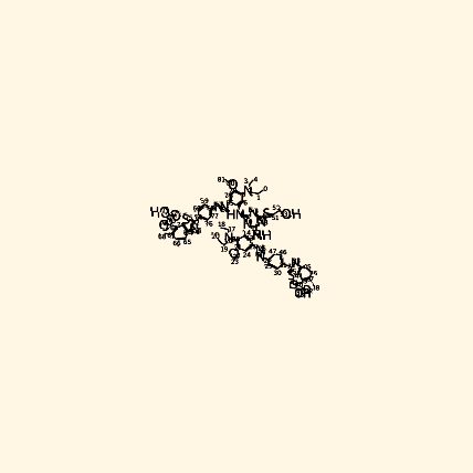 CCN(CC)c1cc(Nc2nc(Nc3cc(N(CC)CC)c(OC)cc3/N=N/c3ccc(-c4nc5ccc(C)c(S(=O)(=O)O)c5s4)cc3)nc(SCCO)n2)c(/N=N/c2ccc(-c3nc4ccc(C)c(S(=O)(=O)O)c4s3)cc2)cc1OC